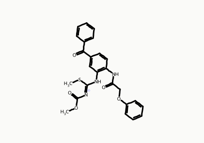 COC(=O)/N=C(/Nc1cc(C(=O)c2ccccc2)ccc1NC(=O)COc1ccccc1)SC